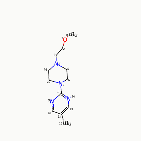 CC(C)(C)OCCN1CCN(c2ncc(C(C)(C)C)cn2)CC1